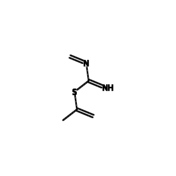 C=NC(=N)SC(=C)C